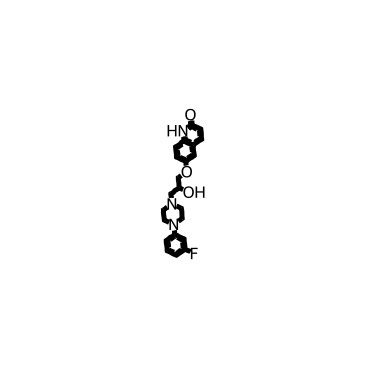 O=c1ccc2cc(OCC(O)CN3CCN(c4cccc(F)c4)CC3)ccc2[nH]1